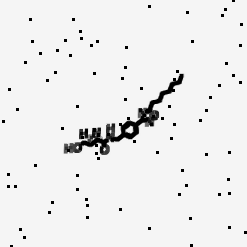 CCCCCCCc1nc(-c2ccc(CNC(=O)[C@@H](N)CCO)cc2)no1